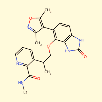 CCNC(=O)c1ncccc1C(C)COc1c(-c2c(C)noc2C)ccc2[nH]c(=O)[nH]c12